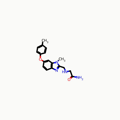 Cc1ccc(Oc2ccc3nc(CNCC(N)=O)n(C)c3c2)cc1